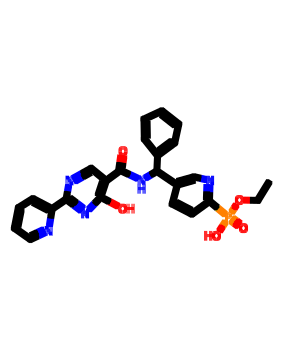 CCOP(=O)(O)c1ccc(C(NC(=O)c2cnc(-c3ccccn3)nc2O)c2ccccc2)cn1